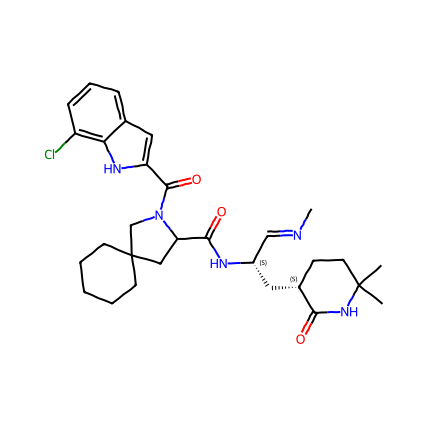 CN=C[C@H](C[C@@H]1CCC(C)(C)NC1=O)NC(=O)C1CC2(CCCCC2)CN1C(=O)c1cc2cccc(Cl)c2[nH]1